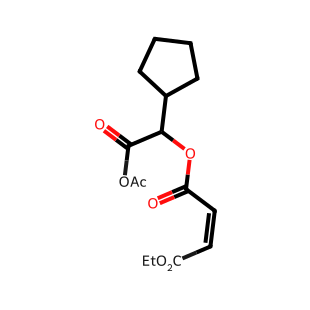 CCOC(=O)/C=C\C(=O)OC(C(=O)OC(C)=O)C1CCCC1